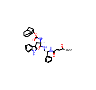 COC(=O)/C=C/C(=O)N[C@@H](CNC(=O)[C@@](C)(Cc1c[nH]c2ccccc12)NC(=O)OC1C2CC3CC(C2)CC1C3)c1ccccc1